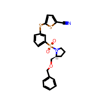 N#Cc1ccc(Sc2cccc(S(=O)(=O)N3CCC[C@H]3COCc3ccccc3)c2)s1